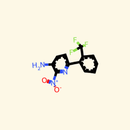 Nc1ccc(-c2ccccc2C(F)(F)F)nc1[N+](=O)[O-]